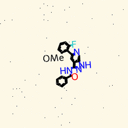 COc1cccc(F)c1-c1cc2c(NC(=O)c3ccccc3)n[nH]c2cn1